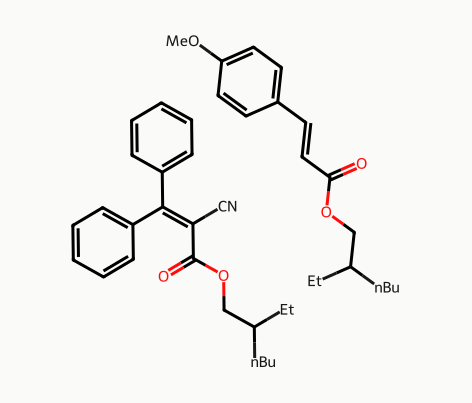 CCCCC(CC)COC(=O)/C=C/c1ccc(OC)cc1.CCCCC(CC)COC(=O)C(C#N)=C(c1ccccc1)c1ccccc1